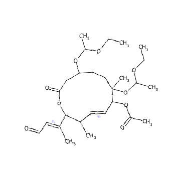 CCOC(C)OC1CCC(C)(OC(C)OCC)C(OC(C)=O)/C=C/C(C)C(/C(C)=C/C=O)OC(=O)C1